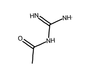 CC(=O)NC([NH])=N